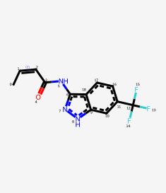 C/C=C\C(=O)Nc1n[nH]c2cc(C(F)(F)F)ccc12